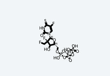 O=c1[nH]c(=S)c(F)cn1[C@@H]1O[C@H](COP(=O)(O)OP(=O)(O)OP(=O)(O)O)C(O)[C@]1(F)CF